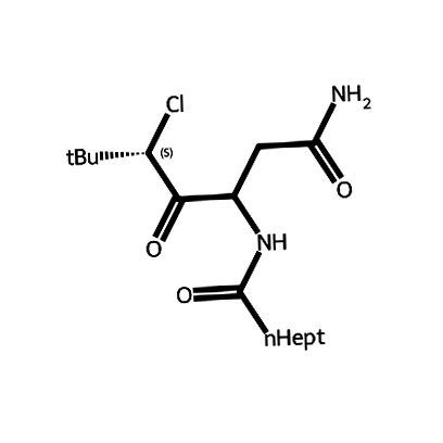 CCCCCCCC(=O)NC(CC(N)=O)C(=O)[C@@H](Cl)C(C)(C)C